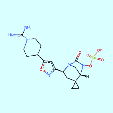 N=C(N)N1CCC(c2cc([C@@H]3CC4(CC4)[C@@H]4CN3C(=O)N4OS(=O)(=O)O)no2)CC1